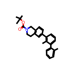 Cc1ccccc1-c1cccc(-c2ccc3c(c2)CCN(C(=O)OC(C)(C)C)C3)c1C